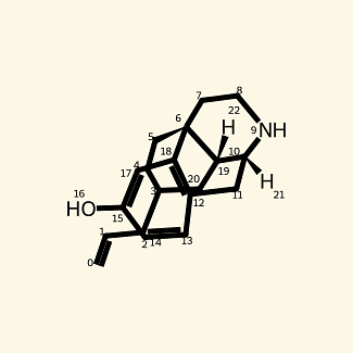 C=CCC1CC[C@]23CCN[C@H](Cc4ccc(O)cc42)[C@@H]3C1